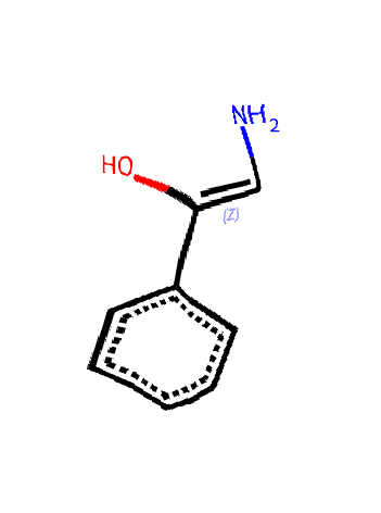 N/C=C(\O)c1ccccc1